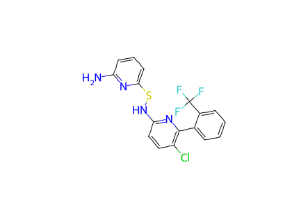 Nc1cccc(SNc2ccc(Cl)c(-c3ccccc3C(F)(F)F)n2)n1